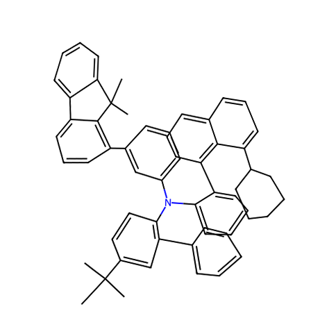 CC(C)(C)c1ccc(N(c2cccc(-c3cccc4c3C(C)(C)c3ccccc3-4)c2)c2ccccc2-c2cccc3cccc(C4CCCCC4)c23)c(-c2ccccc2)c1